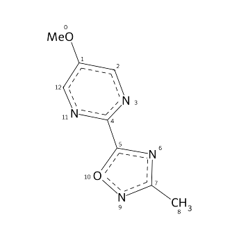 COc1cnc(-c2nc(C)no2)nc1